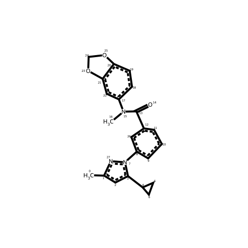 Cc1cc(C2CC2)n(-c2cccc(C(=O)N(C)c3ccc4c(c3)OCO4)c2)n1